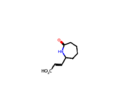 O=C(O)C=CC1CCCCC(=O)N1